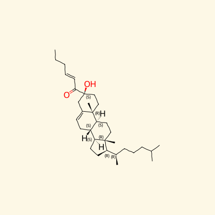 CCCC=CC(=O)[C@]1(O)CC[C@@]2(C)C(=CC[C@H]3[C@@H]4CC[C@H]([C@H](C)CCCC(C)C)[C@@]4(C)CC[C@@H]32)C1